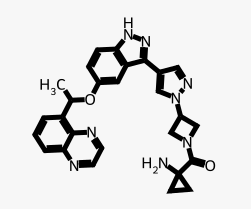 CC(Oc1ccc2[nH]nc(-c3cnn(C4CN(C(=O)C5(N)CC5)C4)c3)c2c1)c1cccc2nccnc12